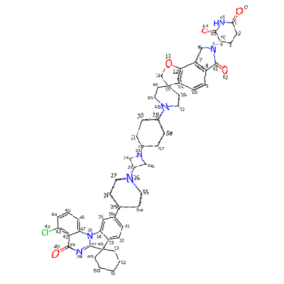 O=C1CC[C@H](N2Cc3c(ccc4c3OCC43CCN(C4CCC(N5CC(N6CCC(c7ccc8c(c7)-n7c(nc(=O)c9c(Cl)cccc97)C87CCCCC7)CC6)C5)CC4)CC3)C2=O)C(=O)N1